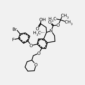 CC(C)(C)OC(=O)N1CCc2cc(OCC3CCCCO3)c(Oc3ccc(Br)c(F)c3)cc2[C@@]1(C)CC(=O)O